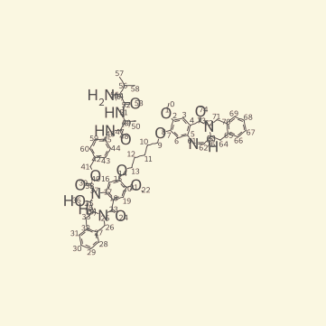 COc1cc2c(cc1OCCCCCOc1cc3c(cc1OC)C(=O)N1Cc4ccccc4C[C@H]1C(O)N3C(=O)OCc1ccc(NC(=O)[C@H](C)NC(=O)[C@@H](N)C(C)C)cc1)N=C[C@@H]1Cc3ccccc3CN1C2=O